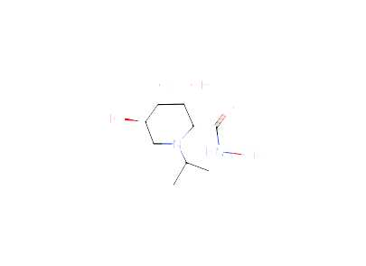 CC(C)N1C[C@@H](O)[C@H](O)[C@H](O)[C@@H]1C(=O)NO